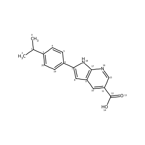 CC(C)c1ccc(-c2cc3cc(C(=O)O)cnc3[nH]2)cc1